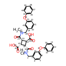 CN(Cc1cccc(Oc2ccccc2)c1)C(=O)[C@H]1[C@H](C(=O)O)[C@H](C(=O)N(C)Cc2cccc(Oc3ccccc3)c2)[C@H]1C(=O)O